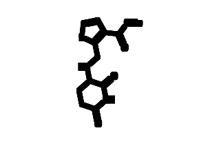 COC(=O)c1ccsc1CNC1CCC(=O)NC1=O